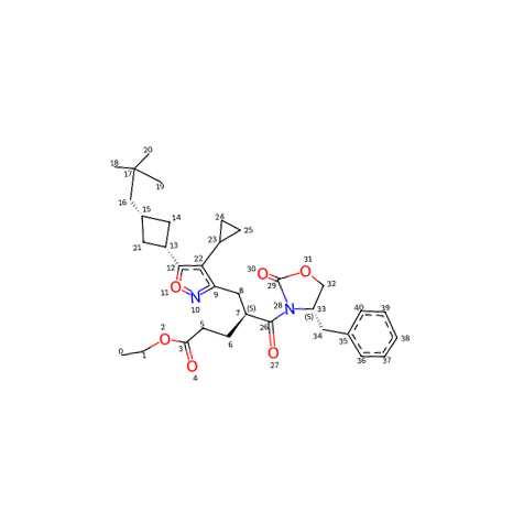 CCOC(=O)CC[C@@H](Cc1noc([C@H]2C[C@@H](CC(C)(C)C)C2)c1C1CC1)C(=O)N1C(=O)OC[C@@H]1Cc1ccccc1